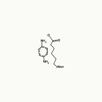 CCCCCCCCCCCCCCC([O])=O.Nc1ccc(N)cc1